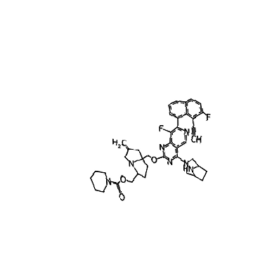 C#Cc1c(F)ccc2cccc(-c3ncc4c(N5CC6CCC(C5)N6)nc(OCC56CCC(COC(=O)N7CCCCC7)N5CC(=C)C6)nc4c3F)c12